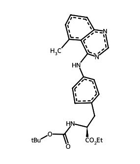 CCOC(=O)[C@H](Cc1ccc(Nc2ncnc3cccc(C)c23)cc1)NC(=O)OC(C)(C)C